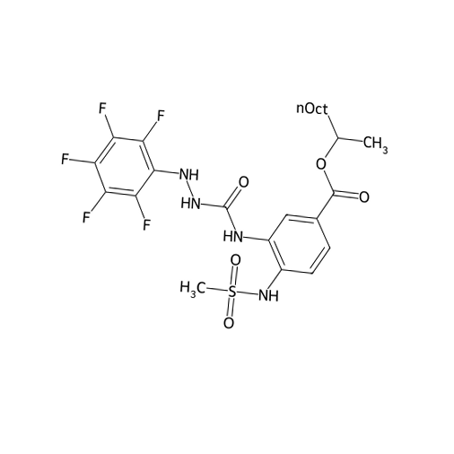 CCCCCCCCC(C)OC(=O)c1ccc(NS(C)(=O)=O)c(NC(=O)NNc2c(F)c(F)c(F)c(F)c2F)c1